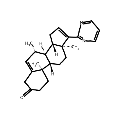 C[C@H]1C=C2CC(=O)CC[C@]2(C)[C@H]2CC[C@]3(C)C(c4ncccn4)=CC[C@H]3[C@H]12